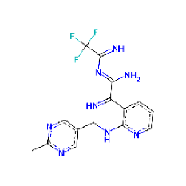 Cc1ncc(CNc2ncccc2C(=N)/C(N)=N/C(=N)C(F)(F)F)cn1